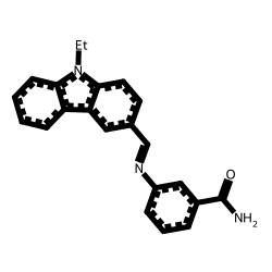 CCn1c2ccccc2c2cc(C=Nc3cccc(C(N)=O)c3)ccc21